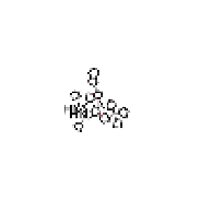 N=C(/C(=C1\NC(c2ccccc2)=Cc2ccc(N(c3ccc(-c4ccc5ccccc5c4)cc3)c3cccc4c3-c3ccccc3C4(c3ccccc3)c3ccccc3)cc21)c1ccccc1)c1ccccc1